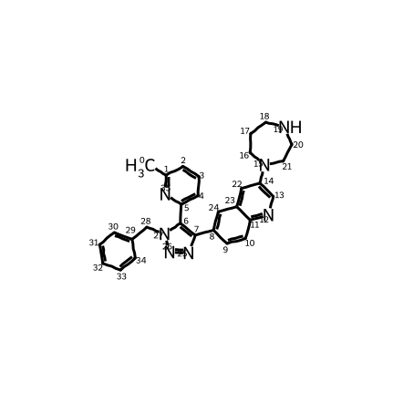 Cc1cccc(-c2c(-c3ccc4ncc(N5CCCNCC5)cc4c3)nnn2Cc2ccccc2)n1